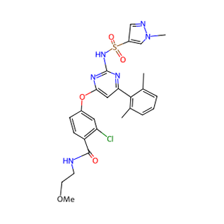 COCCNC(=O)c1ccc(Oc2cc(-c3c(C)cccc3C)nc(NS(=O)(=O)c3cnn(C)c3)n2)cc1Cl